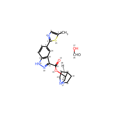 Cc1cnc(-c2ccc3[nH]nc(C(=O)O[C@@H]4CN5CCC4CC5)c3c2)s1.O=CO